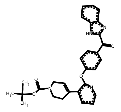 CC(C)(C)OC(=O)N1CC=C(c2cccnc2Oc2ccc(C(=O)c3nc4ccccc4[nH]3)cc2)CC1